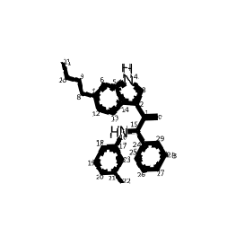 C=C(c1c[nH]c2cc(CCCC)ccc12)C(Nc1cccc(C)c1)c1ccccc1